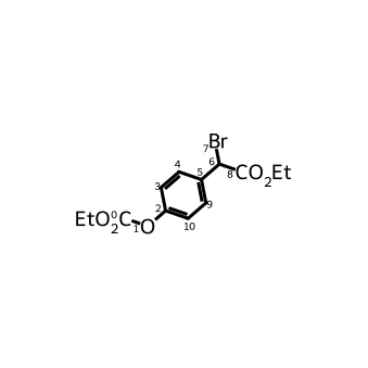 CCOC(=O)Oc1ccc(C(Br)C(=O)OCC)cc1